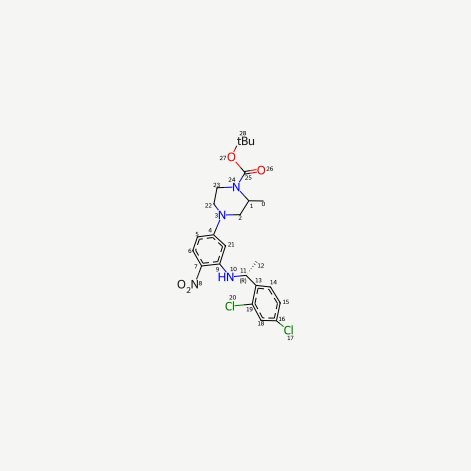 CC1CN(c2ccc([N+](=O)[O-])c(N[C@H](C)c3ccc(Cl)cc3Cl)c2)CCN1C(=O)OC(C)(C)C